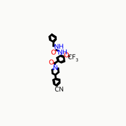 N#Cc1ccc(C2CCN(C(=O)c3ccc(OC(F)(F)F)c(NC(=O)NCc4ccccc4)c3)CC2)cc1